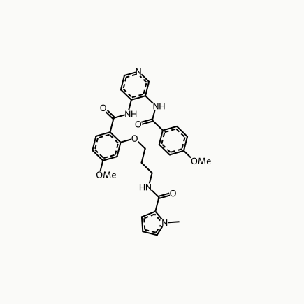 COc1ccc(C(=O)Nc2cnccc2NC(=O)c2ccc(OC)cc2OCCCNC(=O)c2cccn2C)cc1